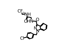 O=C(CNC(=O)c1nn(Cc2ccc(Cl)cc2)c2ccccc12)NCC(F)(F)F